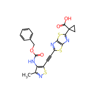 Cc1nsc(C#Cc2nc3sc(C4(C(=O)O)CC4)nc3s2)c1NC(=O)OCc1ccccc1